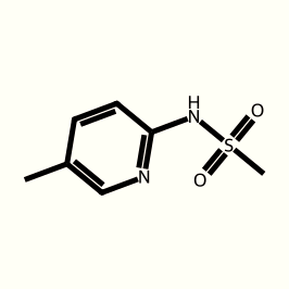 Cc1ccc(NS(C)(=O)=O)nc1